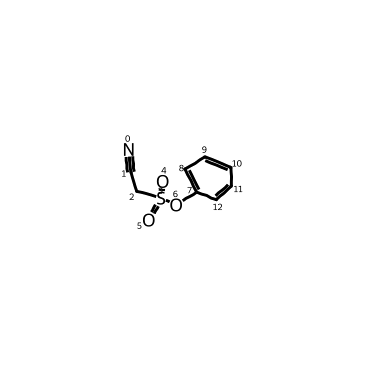 N#CCS(=O)(=O)Oc1ccccc1